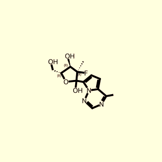 Cc1ncnn2c(C3(O)O[C@H](CO)[C@@H](O)[C@@]3(C)F)ccc12